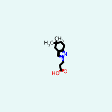 CC1(C)CCc2nn(CCC(=O)O)cc2C1